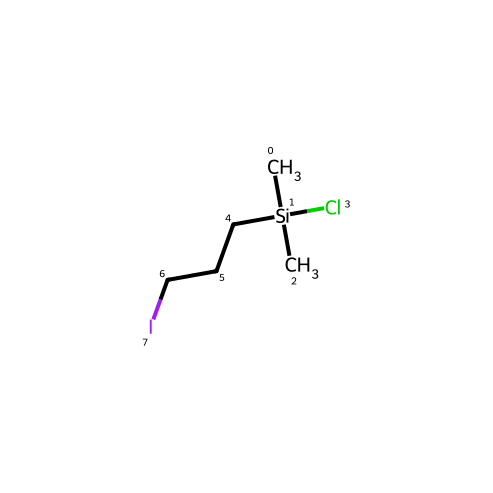 C[Si](C)(Cl)CCCI